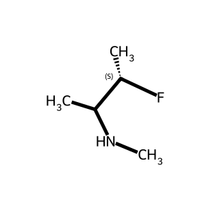 CNC(C)[C@H](C)F